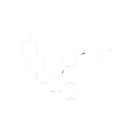 COCc1sc(C(=O)c2cncnc2N[C@H]2CC[C@@H](COS(N)(=O)=O)C2)cc1C(O)c1cccc(Cl)c1